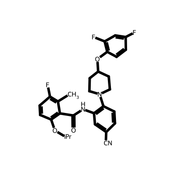 Cc1c(F)ccc(OC(C)C)c1C(=O)Nc1cc(C#N)ccc1N1CCC(Oc2ccc(F)cc2F)CC1